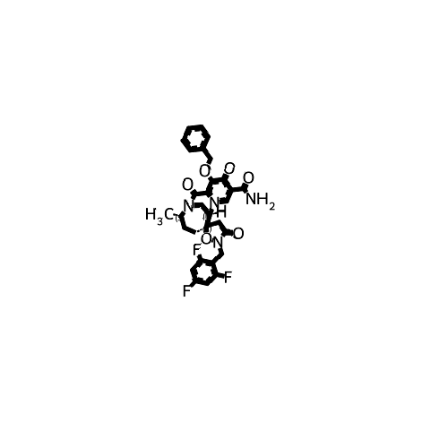 C[C@H]1CC[C@@]2(CC(=O)N(Cc3c(F)cc(F)cc3F)O2)[C@H]2CN1C(=O)c1c(OCc3ccccc3)c(=O)c(C(N)=O)cn12